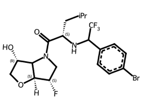 CC(C)C[C@H](NC(c1ccc(Br)cc1)C(F)(F)F)C(=O)N1C[C@H](F)[C@H]2OC[C@H](O)C21